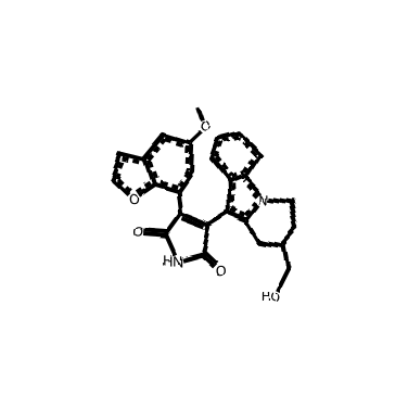 COc1cc(C2=C(c3c4n(c5ccccc35)CCC(CO)C4)C(=O)NC2=O)c2occc2c1